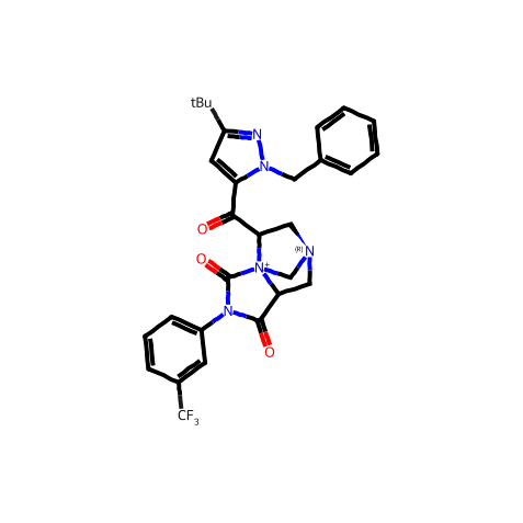 CC(C)(C)c1cc(C(=O)C2C[N@@]3CC4C(=O)N(c5cccc(C(F)(F)F)c5)C(=O)[N+]24C3)n(Cc2ccccc2)n1